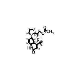 CC(=O)OC[C@H](O)[C@H]1CCCN1c1ccc2[nH]c(=O)cc(C(F)(F)F)c2c1